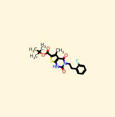 Cc1c(C(=O)OC(C)(C)C)sc2[nH]c(=O)n(CCc3ccccc3F)c(=O)c12